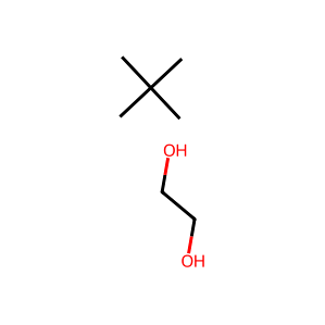 CC(C)(C)C.OCCO